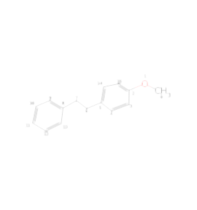 COc1ccc(CCc2ccccc2)cc1